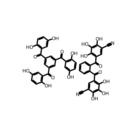 N#Cc1cc(C(=O)c2ccccc2C(=O)c2cc(C#N)c(O)c(O)c2O)c(O)c(O)c1O.O=C(c1cc(C(=O)c2cc(O)ccc2O)cc(C(=O)c2cc(O)ccc2O)c1)c1cc(O)ccc1O